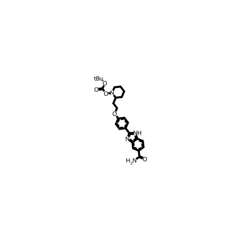 CC(C)(C)OC(=O)ON1CCCCC1CCOc1ccc(-c2nc3cc(C(N)=O)ccc3[nH]2)cc1